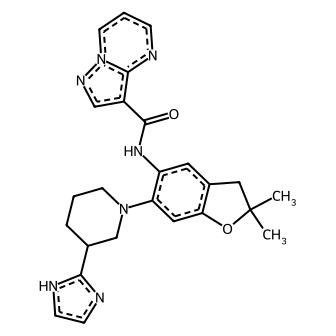 CC1(C)Cc2cc(NC(=O)c3cnn4cccnc34)c(N3CCCC(c4ncc[nH]4)C3)cc2O1